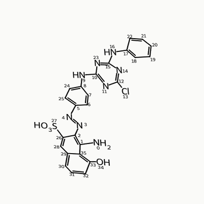 Nc1c(N=Nc2ccc(Nc3nc(Cl)nc(Nc4ccccc4)n3)cc2)c(S(=O)(=O)O)cc2cccc(O)c12